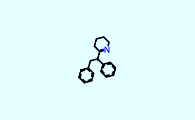 c1ccc(C[C](C2=NCCCC2)c2ccccc2)cc1